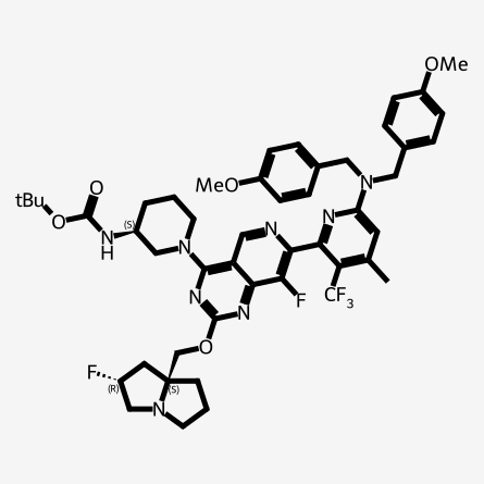 COc1ccc(CN(Cc2ccc(OC)cc2)c2cc(C)c(C(F)(F)F)c(-c3ncc4c(N5CCC[C@H](NC(=O)OC(C)(C)C)C5)nc(OC[C@@]56CCCN5C[C@H](F)C6)nc4c3F)n2)cc1